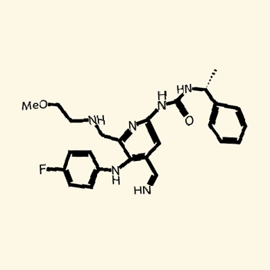 COCCNCc1nc(NC(=O)N[C@H](C)c2ccccc2)cc(C=N)c1Nc1ccc(F)cc1